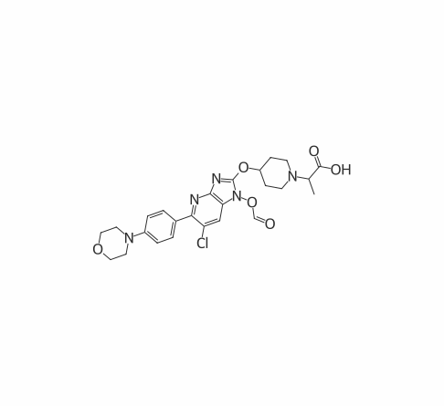 CC(C(=O)O)N1CCC(Oc2nc3nc(-c4ccc(N5CCOCC5)cc4)c(Cl)cc3n2OC=O)CC1